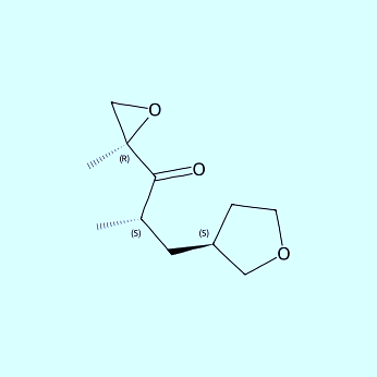 C[C@@H](C[C@H]1CCOC1)C(=O)[C@@]1(C)CO1